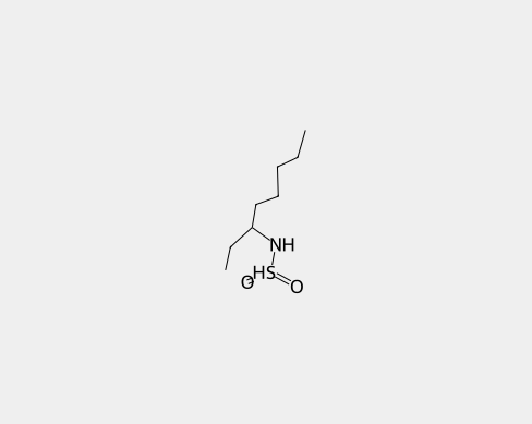 CCCCCC(CC)N[SH](=O)=O